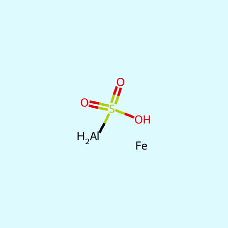 O=[S](=O)(O)[AlH2].[Fe]